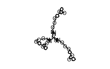 O=c1cc(-c2ccc(OCCOCCOCCn3cc(CN(Cc4cn(CCOCCOCCOc5ccc(-c6cc(=O)c7ccccc7o6)cc5)nn4)Cc4cn(CCOCCOCCOc5ccc(-c6cc(=O)c7ccccc7o6)cc5)nn4)nn3)cc2)oc2ccccc12